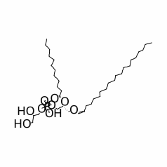 CCCCCCCCCCCCCCCCCC/C=C\OC[C@H](COP(=O)(O)OC[C@@H](O)CO)OC(=O)CCCCCCCCCCC